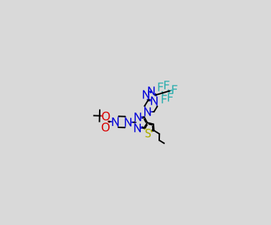 CCCc1cc2c(N3CCn4c(nnc4C(F)(F)C(F)(F)F)C3)nc(N3CCN(C(=O)OC(C)(C)C)CC3)nc2s1